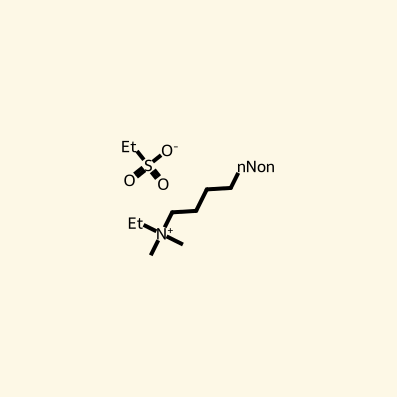 CCCCCCCCCCCCC[N+](C)(C)CC.CCS(=O)(=O)[O-]